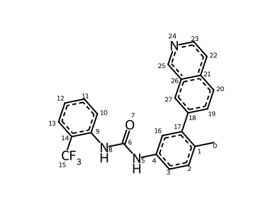 Cc1ccc(NC(=O)Nc2ccccc2C(F)(F)F)cc1-c1ccc2ccncc2c1